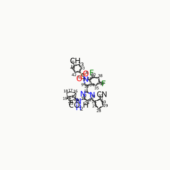 Cc1ccc(S(=O)(=O)n2cc(-c3nc(NC4C5CCC(CC5)C4C(=O)O)cc(-c4ccccc4C#N)n3)c3cc(F)cc(F)c32)cc1